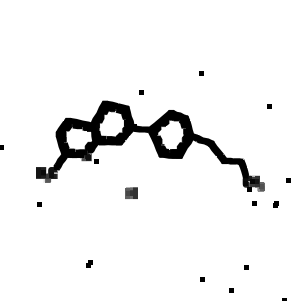 CCCCc1ccc(-c2ccc3ccc(C)nc3c2)cc1.I